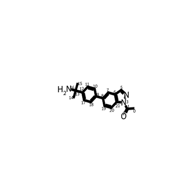 CC(=O)n1ncc2cc(-c3ccc(C(C)(C)N)cc3)ccc21